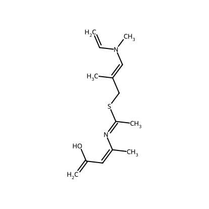 C=CN(C)/C=C(\C)CS/C(C)=N/C(C)=C\C(=C)O